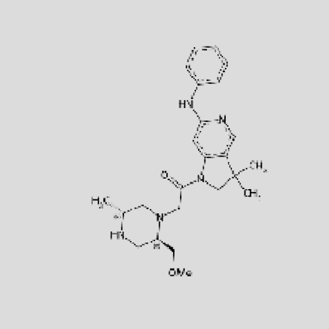 COC[C@H]1CN[C@H](C)CN1CC(=O)N1CC(C)(C)c2cnc(Nc3ccccc3)cc21